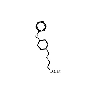 CCOC(=O)CCNC[C@H]1CC[C@@H](Oc2ccccc2)CC1